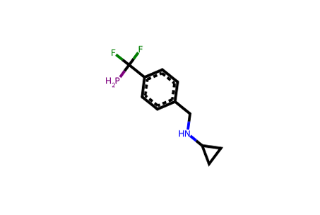 FC(F)(P)c1ccc(CNC2CC2)cc1